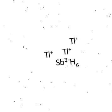 [SbH6-3].[Tl+].[Tl+].[Tl+]